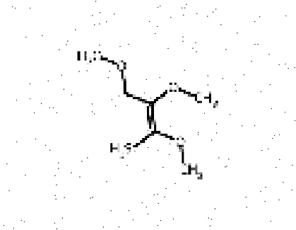 COCC(OC)=C([SiH3])OC